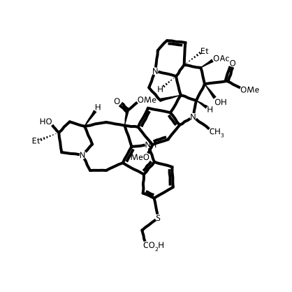 CC[C@]1(O)C[C@H]2CN(CCc3c([nH]c4ccc(SCC(=O)O)cc34)[C@@](C(=O)OC)(c3cc4c(cc3OC)N(C)[C@H]3[C@@](O)(C(=O)OC)[C@H](OC(C)=O)[C@]5(CC)C=CCN6CC[C@]43[C@@H]65)C2)C1